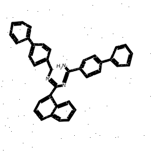 N/C(=N\C(=N/Cc1ccc(-c2ccccc2)cc1)c1cccc2ccccc12)c1ccc(-c2ccccc2)cc1